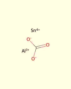 O=C([O-])[O-].[Al+3].[Sn+4]